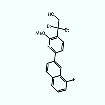 CCC(CC)(CO)c1ccc(-c2ccc3cccc(F)c3c2)nc1OC